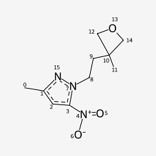 Cc1cc([N+](=O)[O-])n(CCC2(C)COC2)n1